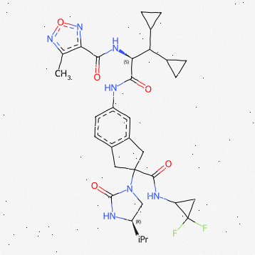 Cc1nonc1C(=O)N[C@H](C(=O)Nc1ccc2c(c1)CC(C(=O)NC1CC1(F)F)(N1C[C@@H](C(C)C)NC1=O)C2)C(C1CC1)C1CC1